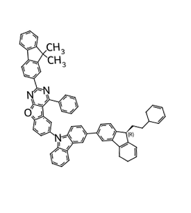 CC1(C)c2ccccc2-c2ccc(-c3nc(-c4ccccc4)c4c(n3)oc3ccc(-n5c6ccccc6c6cc(-c7ccc8c(c7)C7=C(C=CCC7)[C@@H]8CCC7C=CC=CC7)ccc65)cc34)cc21